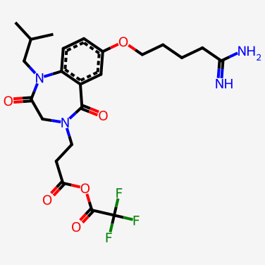 CC(C)CN1C(=O)CN(CCC(=O)OC(=O)C(F)(F)F)C(=O)c2cc(OCCCCC(=N)N)ccc21